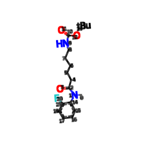 CN(C(=O)CCCCCNC(=O)OC(C)(C)C)c1ccccc1F